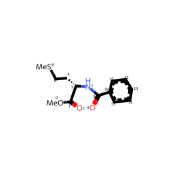 COC(=O)[C@H](CCSC)NC(=O)c1ccccc1